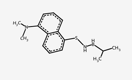 CC(C)BNSc1cccc2c(N(C)C)cccc12